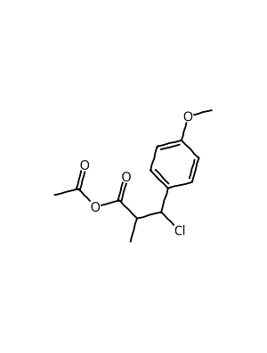 COc1ccc(C(Cl)C(C)C(=O)OC(C)=O)cc1